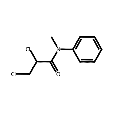 CN(C(=O)C(Cl)CCl)c1ccccc1